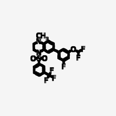 CN1CCN(S(=O)(=O)c2cccc(C(F)(F)F)c2)c2cc(-c3cc(F)cc(OC(F)F)c3)ccc21